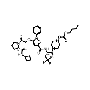 CCCCOC(=O)ON1CCN(C(=O)[C@H](CC(F)(F)F)NC(=O)c2cc(OCC(=O)N3CCC[C@H]3C(=O)NC3CCC3)n(-c3ccccc3)n2)CC1